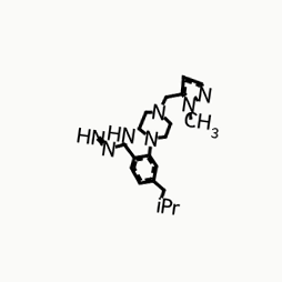 CC(C)Cc1ccc(C(=N)N=N)c(N2CCN(Cc3ccnn3C)CC2)c1